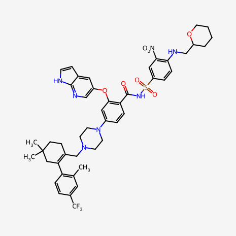 Cc1cc(C(F)(F)F)ccc1C1=C(CN2CCN(c3ccc(C(=O)NS(=O)(=O)c4ccc(NCC5CCCCO5)c([N+](=O)[O-])c4)c(Oc4cnc5[nH]ccc5c4)c3)CC2)CCC(C)(C)C1